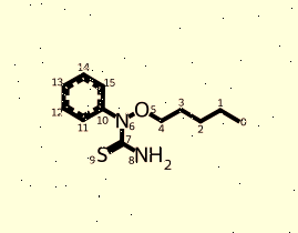 CCCCCON(C(N)=S)c1ccccc1